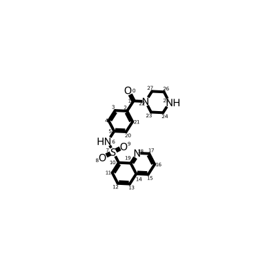 O=C(c1ccc(NS(=O)(=O)c2cccc3cccnc23)cc1)N1CCNCC1